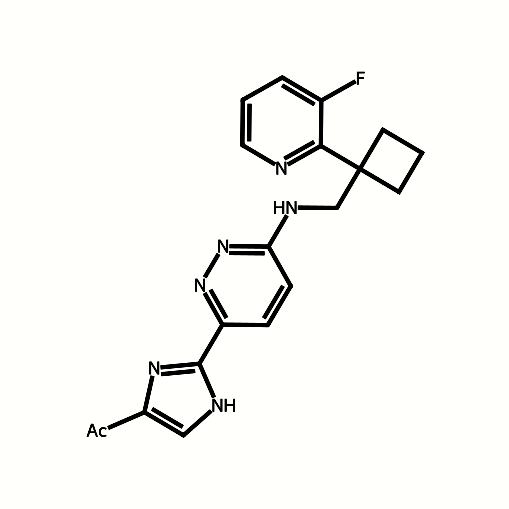 CC(=O)c1c[nH]c(-c2ccc(NCC3(c4ncccc4F)CCC3)nn2)n1